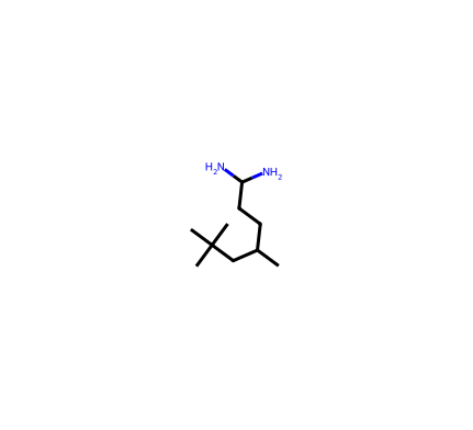 CC(CCC(N)N)CC(C)(C)C